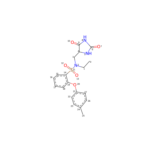 CCN(CC1NC(=O)NC1=O)S(=O)(=O)c1ccccc1Oc1ccc(C)cc1